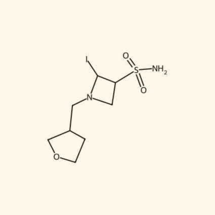 NS(=O)(=O)C1CN(CC2CCOC2)C1I